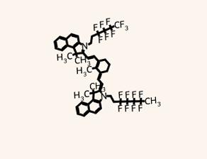 CC1=C(/C=C/C2=[N+](CCC(F)(F)C(F)(F)C(F)(F)C(F)(F)F)c3ccc4ccccc4c3C2(C)C)CCC/C1=C\C=C1\N(CCC(F)(F)C(F)(F)C(F)(F)C(C)(F)F)c2ccc3ccccc3c2C1(C)C